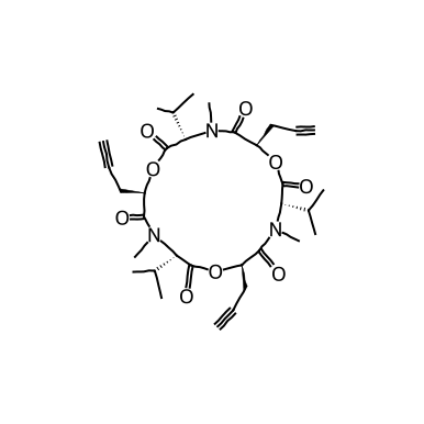 C#CC[C@H]1OC(=O)[C@H](C(C)C)N(C)C(=O)[C@@H](CC#C)OC(=O)[C@H](C(C)C)N(C)C(=O)[C@@H](CC#C)OC(=O)[C@H](C(C)C)N(C)C1=O